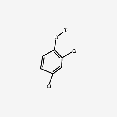 Clc1ccc([O][Ti])c(Cl)c1